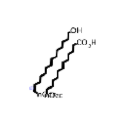 CCCCCCCC/C=C\CCCCCCCCCCCCO.CCCCCCCCCCCCCCCCCCCCCC(=O)O